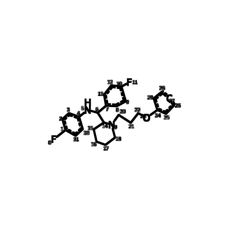 Fc1ccc(NC(c2ccc(F)cc2)C2CCCCN2CCCOc2ccccc2)cc1